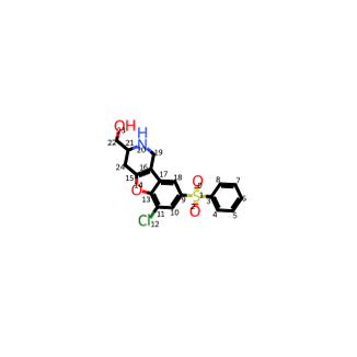 O=S(=O)(c1ccccc1)c1cc(Cl)c2oc3c(c2c1)CNC(CO)C3